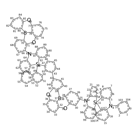 c1ccc(N2c3ccccc3[Si]3(c4ccccc42)c2ccccc2N(c2ccc4c(c2)Oc2cccc5c2B4c2ccc(-c4cccc([Si]6(c7cccc8ccccc78)c7ccccc7N(c7cccc8c7Oc7cccc9c7B8c7ccccc7O9)c7ccccc76)c4)cc2O5)c2ccccc23)cc1